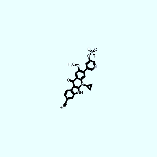 C#Cc1ccc2c(c1)[nH]c1c2c(=O)c2cc(OC)c(-c3cncc(OS(=O)(=O)F)c3)cc2n1C1CC1